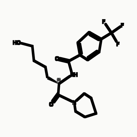 O=C(N[C@@H](CCCCO)C(=O)N1CCCCC1)c1ccc(C(F)(F)F)cc1